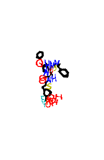 CC(C)(C)[C@H](NC(=O)c1cc2cc(C(F)(F)P(=O)(O)O)ccc2s1)C(=O)N1C[C@@H](Oc2ccccc2)C[C@H]1C(=O)Nc1ncc(-c2ccccc2)s1